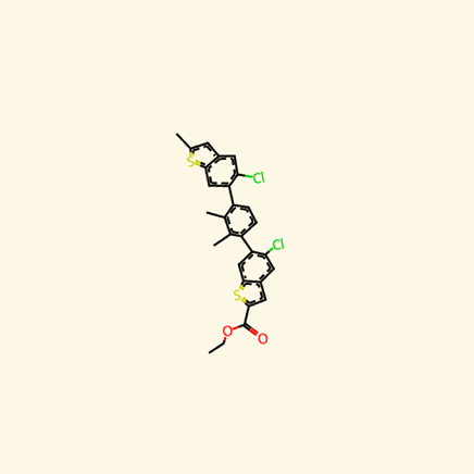 CCOC(=O)c1cc2cc(Cl)c(-c3ccc(-c4cc5sc(C)cc5cc4Cl)c(C)c3C)cc2s1